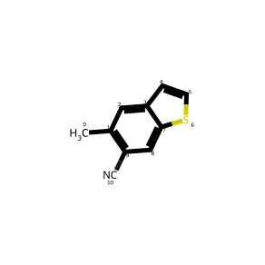 Cc1cc2ccsc2cc1C#N